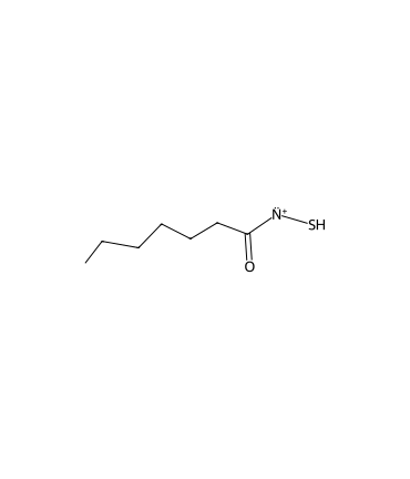 CCCCCCC(=O)[N+]S